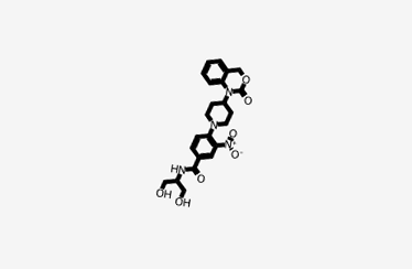 O=C(NC(CO)CO)c1ccc(N2CCC(N3C(=O)OCc4ccccc43)CC2)c([N+](=O)[O-])c1